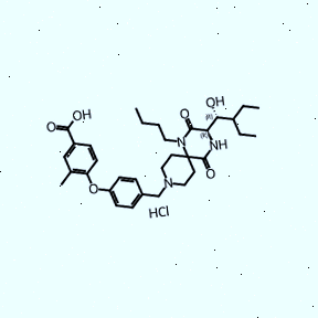 CCCCN1C(=O)[C@@H]([C@H](O)C(CC)CC)NC(=O)C12CCN(Cc1ccc(Oc3ccc(C(=O)O)cc3C)cc1)CC2.Cl